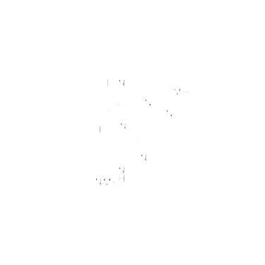 CNc1cc(F)c(F)c2c1[nH]c1ncc(-c3cnc(OC)nc3)c(N3CC4CC4(CN)C3)c12